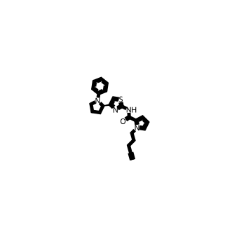 C#CCCCn1cccc1C(=O)Nc1nc([C@H]2CCCN2c2ccccc2)cs1